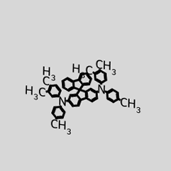 Cc1ccc(N(c2ccc(C)c(C)c2)c2ccc3c(c2)C2(c4ccccc4-c4ccccc42)c2cc(N(c4ccc(C)cc4)c4ccc(C)c(C)c4)ccc2-3)cc1